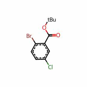 CC(C)(C)OC(=O)c1cc(Cl)ccc1Br